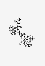 CC(C)(C[C@H](NC(=O)[C@@H](NC(=O)C(F)(F)F)C(C)(C)C)C(=O)N[C@H](C#N)C[C@@H]1CCC2(CC2)NC1=O)CN1C(=O)[C@H](C[C@@H](C#N)NC(=O)[C@@H]2[C@@H]3[C@H](CN2C(=O)[C@@H](NC(=O)C(F)(F)F)C(C)(C)C)C3(C)C)CCC12CC2